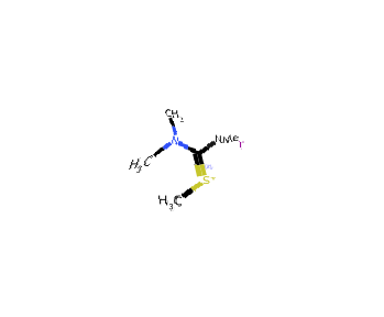 CN/C(=[S+]/C)N(C)C.[I-]